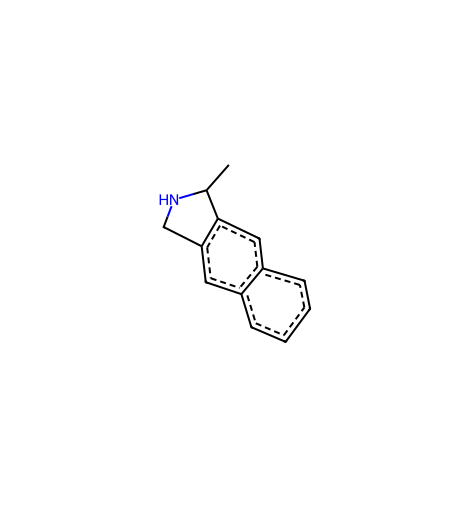 CC1NCc2cc3ccccc3cc21